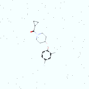 Cc1cc([N+](=O)[O-])ccc1OC1CCN(C(=O)C2CC2)CC1